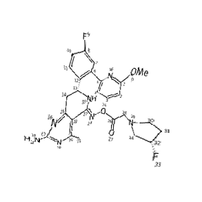 COc1cccc(-c2cc(F)ccc2[C@H]2Cc3nc(N)nc(C)c3C(=NOC(=O)CN3CC[C@H](F)C3)N2)n1